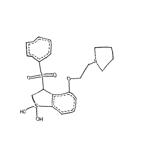 O=S(=O)(c1ccccc1)C1CS(O)(O)c2cccc(OCCN3CCCC3)c21